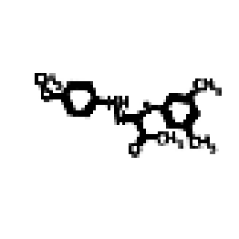 COc1ccc(NN=C(Sc2cc(C)cc(C)c2)C(C)=O)cc1